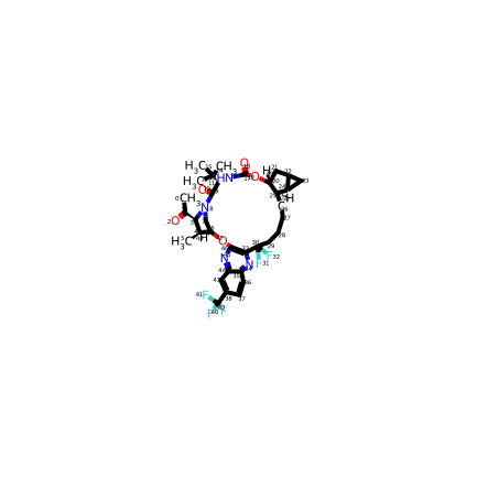 CC(=O)[C@@H]1[C@H](C)[C@@H]2CN1C(=O)[C@H](C(C)(C)C)NC(=O)O[C@@H]1CC3CC3[C@H]1CCCCC(F)(F)c1nc3ccc(C(F)(F)F)cc3nc1O2